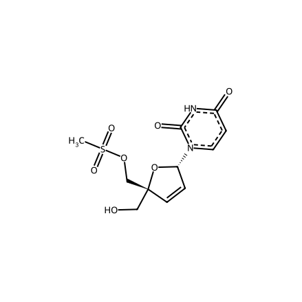 CS(=O)(=O)OC[C@]1(CO)C=C[C@@H](n2ccc(=O)[nH]c2=O)O1